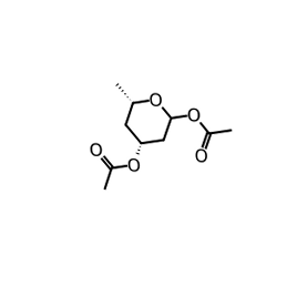 CC(=O)OC1C[C@H](OC(C)=O)C[C@H](C)O1